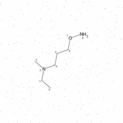 CCN(C)CCCON